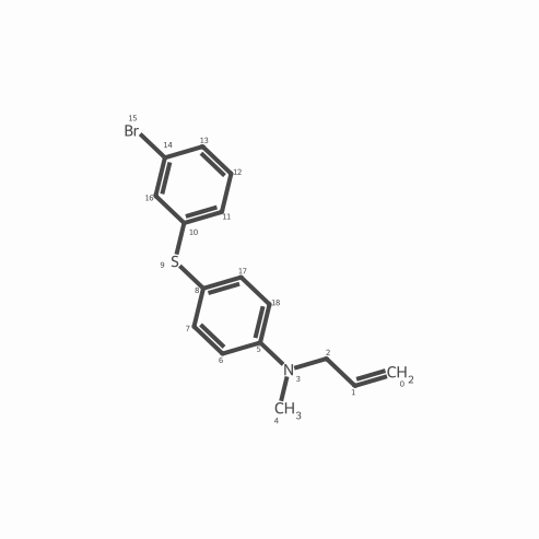 C=CCN(C)c1ccc(Sc2cccc(Br)c2)cc1